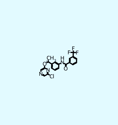 C[C@H](Oc1cncc(Cl)n1)c1cccc(NC(=O)c2cccc(C(F)(F)F)c2)c1